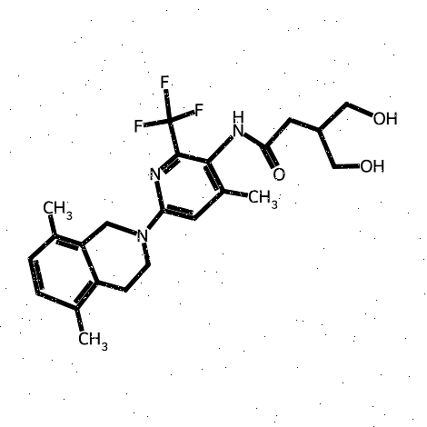 Cc1ccc(C)c2c1CCN(c1cc(C)c(NC(=O)CC(CO)CO)c(C(F)(F)F)n1)C2